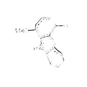 CSc1[c]cc(C(F)(F)F)c2c1[nH]c1ccccc12